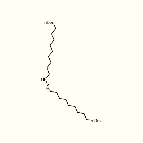 CCCCCCCCCCCCCCCCCCCP[PH3]CCCCCCCCCCCCCCCCCCC